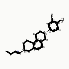 CC/C=C/[C@H]1CCc2c(ccc3c2CC[C@H](c2ccc(Cl)c(F)c2)C3)C1